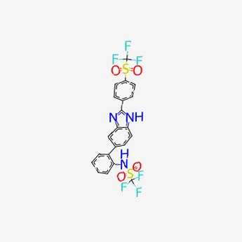 O=S(=O)(Nc1ccccc1-c1ccc2[nH]c(-c3ccc(S(=O)(=O)C(F)(F)F)cc3)nc2c1)C(F)(F)F